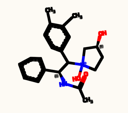 CC(=O)N[C@@H](c1ccccc1)C(c1ccc(C)c(C)c1)[N+]1(O)CC[C@H](O)C1